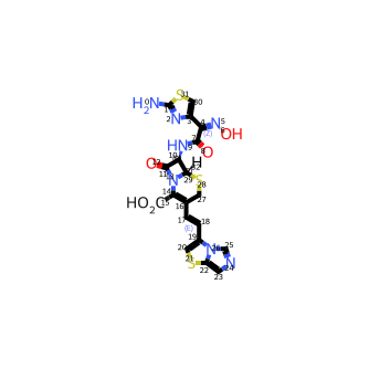 Nc1nc(/C(=N/O)C(=O)N[C@@H]2C(=O)N3C(C(=O)O)=C(/C=C/c4csc5cncn45)CS[C@H]23)cs1